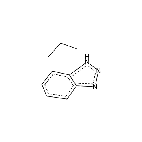 CCC.c1ccc2[nH]nnc2c1